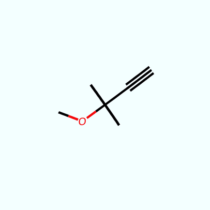 C#CC(C)(C)OC